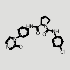 O=C(Nc1ccc(-n2ccncc2=O)cc1)[C@H]1C=CCN1C(=O)Nc1ccc(Cl)cc1